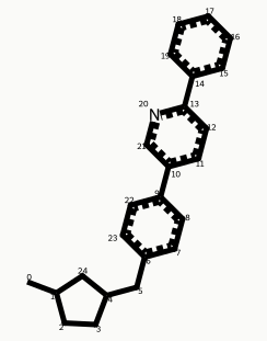 CC1CCC(Cc2ccc(-c3ccc(-c4ccccc4)nc3)cc2)C1